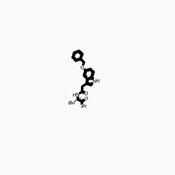 CCC(C)[C@H](NC(=O)Cc1c[nH]c2ccc(OCc3ccccc3)cc12)C(=O)C(C)C